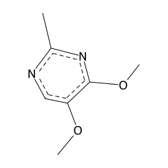 COc1cnc(C)nc1OC